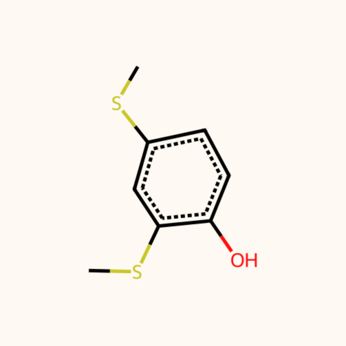 CSc1ccc(O)c(SC)c1